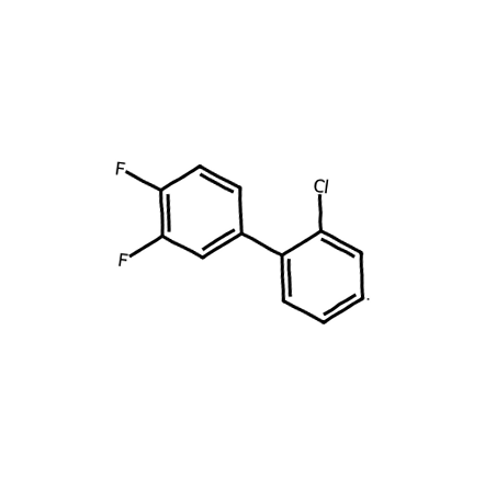 Fc1ccc(-c2cc[c]cc2Cl)cc1F